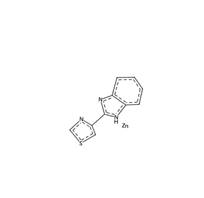 [Zn].c1ccc2[nH]c(-c3cscn3)nc2c1